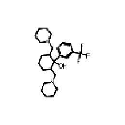 OC1(c2cccc(C(F)(F)F)c2)C(CN2CCCCC2)CCCC1CN1CCCCC1